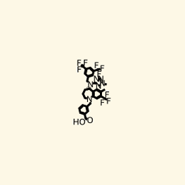 Cc1cc2c(cc1C(F)(F)F)N(Cc1cccc(C(=O)O)c1)CCC[C@@H]2N(Cc1cc(C(F)(F)F)cc(C(F)(F)F)c1)c1nnn(C)n1